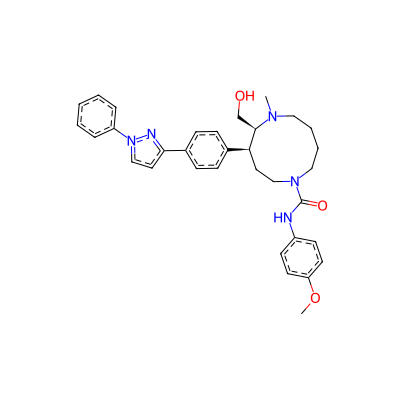 COc1ccc(NC(=O)N2CCCCN(C)[C@H](CO)[C@H](c3ccc(-c4ccn(-c5ccccc5)n4)cc3)CC2)cc1